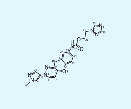 Cn1cc(-n2ccc(=O)c(Cc3cccc(NC(=O)OCCn4cncn4)c3)n2)cn1